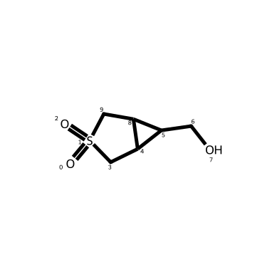 O=S1(=O)CC2C(CO)C2C1